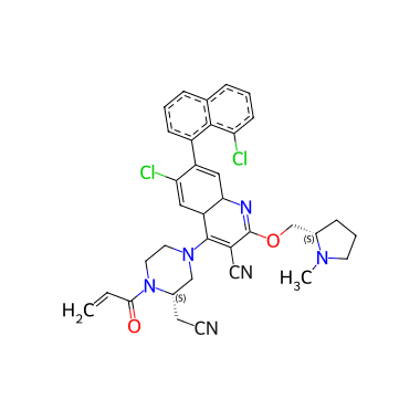 C=CC(=O)N1CCN(C2=C(C#N)C(OC[C@@H]3CCCN3C)=NC3C=C(c4cccc5cccc(Cl)c45)C(Cl)=CC23)C[C@@H]1CC#N